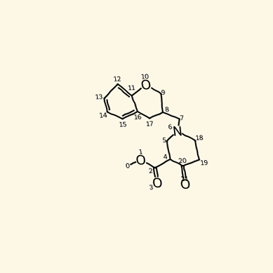 COC(=O)C1CN(CC2COc3ccccc3C2)CCC1=O